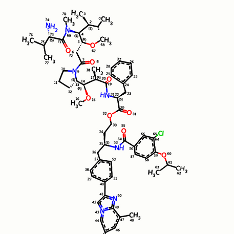 CC[C@H](C)[C@@H]([C@@H](CC(=O)N1CCC[C@H]1[C@H](OC)[C@@H](C)C(=O)N[C@@H](Cc1ccccc1)C(=O)OCC[C@H](Cc1ccc(-c2cn3cccc(C)c3n2)cc1)NC(=O)c1ccc(OC(C)C)c(Cl)c1)OC)N(C)C(=O)[C@@H](N)C(C)C